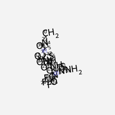 C=CCN1CC/C(=C\C2=C(C(=O)O)N3C(=O)[C@@H](NC(=O)/C(=N\OC(=O)C(F)(F)F)c4csc(N)n4)[C@H]3SC2)C1=O